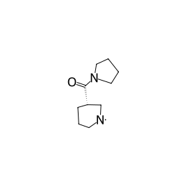 O=C([C@H]1CCC[N]C1)N1CCCC1